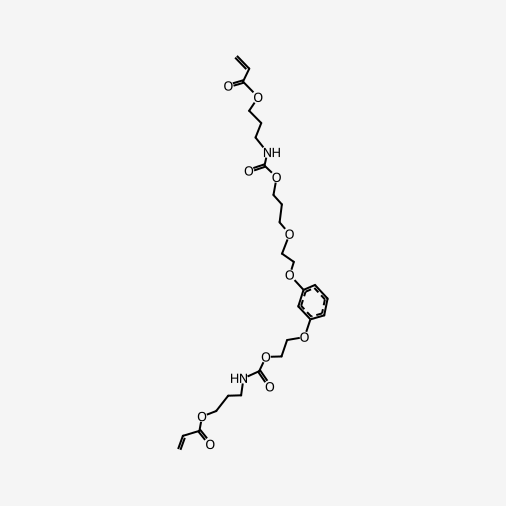 C=CC(=O)OCCCNC(=O)OCCCOCCOc1cccc(OCCOC(=O)NCCCOC(=O)C=C)c1